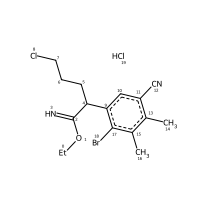 CCOC(=N)C(CCCCl)c1cc(C#N)c(C)c(C)c1Br.Cl